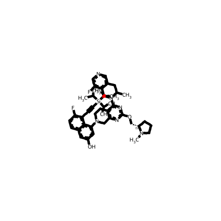 CC1Cc2cncc(F)c2CN1c1nc(OC[C@@H]2CCCN2C)nc2c1CCN(c1cc(O)cc3ccc(F)c(C#C[Si](C(C)C)(C(C)C)C(C)C)c13)C2